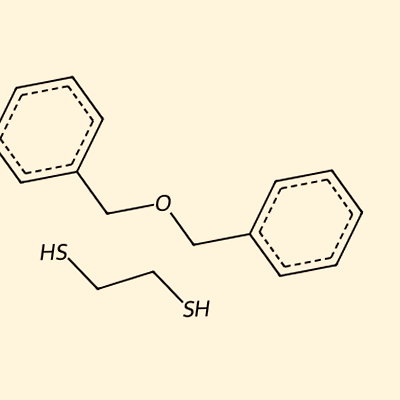 SCCS.c1ccc(COCc2ccccc2)cc1